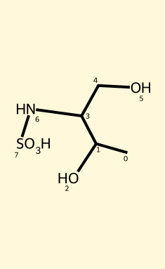 CC(O)C(CO)NS(=O)(=O)O